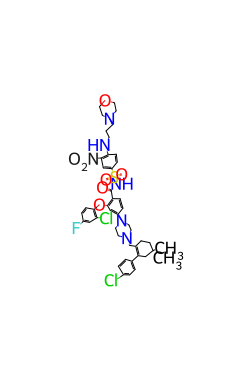 CC1(C)CCC(CN2CCN(c3ccc(C(=O)NS(=O)(=O)c4ccc(NCCCN5CCOCC5)c([N+](=O)[O-])c4)c(Oc4ccc(F)cc4Cl)c3)CC2)=C(c2ccc(Cl)cc2)C1